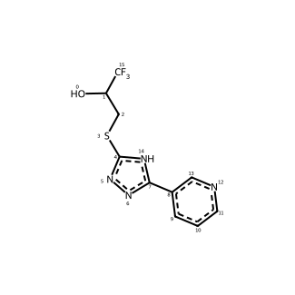 OC(CSc1nnc(-c2cccnc2)[nH]1)C(F)(F)F